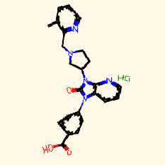 Cc1cccnc1CN1CCC(n2c(=O)n(-c3ccc(C(=O)O)cc3)c3cccnc32)C1.Cl